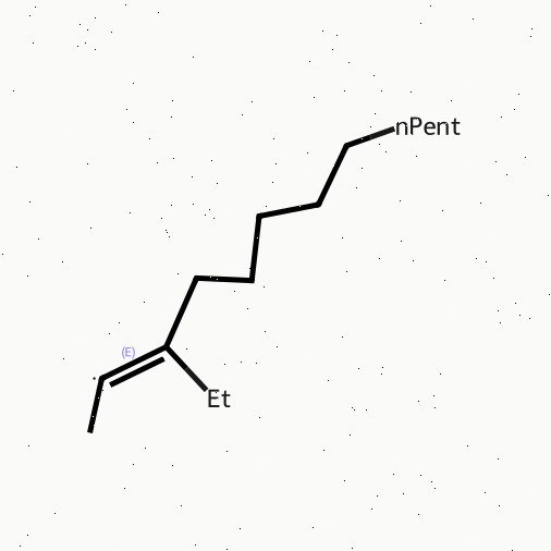 C/[C]=C(\CC)CCCCCCCCCC